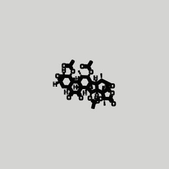 CC(=O)O[C@@H]1[C@H]2[C@@H]3C(=O)C(=O)[C@H]4C[C@@H]5O[C@@H]5[C@H](OC(C)=O)[C@]4(C)[C@H]3[C@H](C)[C@H](OC(C)=O)[C@]2(C)[C@H]2[C@H](C)[C@@H]3O[C@]34OC(=O)[C@@](C)(O)[C@]4(C)[C@H]12